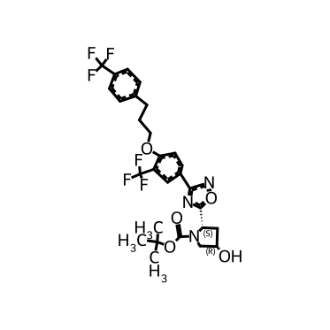 CC(C)(C)OC(=O)N1C[C@H](O)C[C@H]1c1nc(-c2ccc(OCCCc3ccc(C(F)(F)F)cc3)c(C(F)(F)F)c2)no1